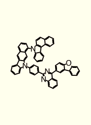 c1cc(-n2c3ccccc3c3c4ccccc4ccc32)c2cc3c(cc2c1)c1ccccc1n3-c1ccc(-c2nc(-c3ccc4oc5ccccc5c4c3)c3ccccc3n2)cc1